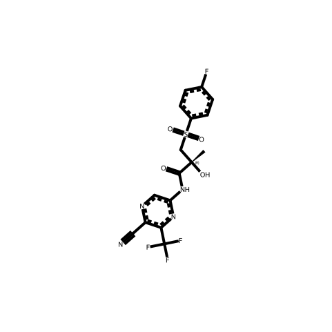 C[C@](O)(CS(=O)(=O)c1ccc(F)cc1)C(=O)Nc1cnc(C#N)c(C(F)(F)F)n1